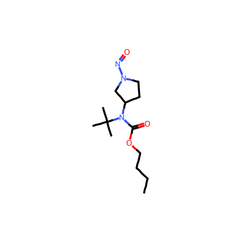 CCCCOC(=O)N(C1CCN(N=O)C1)C(C)(C)C